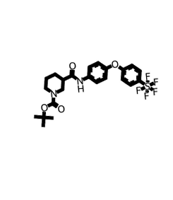 CC(C)(C)OC(=O)N1CCCC(C(=O)Nc2ccc(Oc3ccc(S(F)(F)(F)(F)F)cc3)cc2)C1